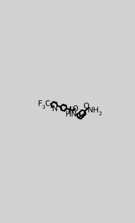 CC(C)(C(=O)NC1C2CC3CC1CC(C(N)=O)(C3)C2)c1ccc(-c2ccc(C(F)(F)F)cn2)cc1